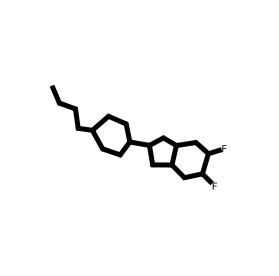 CCCCC1CCC(C2CC3CC(F)C(F)CC3C2)CC1